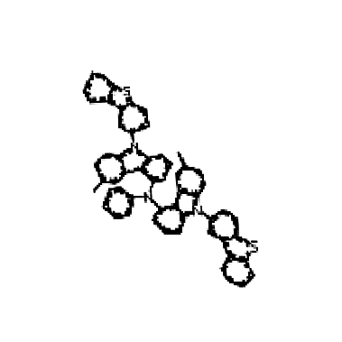 Cc1ccc2c(c1)c1c(N(c3ccccc3)c3cccc4c3c3cc(C)ccc3n4-c3ccc4sc5ccccc5c4c3)cccc1n2-c1ccc2sc3ccccc3c2c1